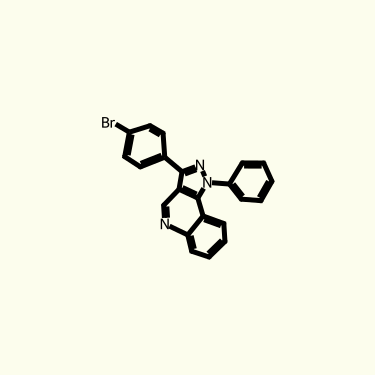 Brc1ccc(-c2nn(-c3ccccc3)c3c2cnc2ccccc23)cc1